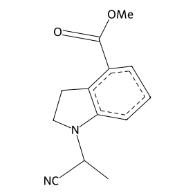 COC(=O)c1cccc2c1CCN2C(C)C#N